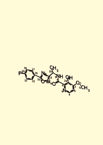 COc1ccnc(C(=O)NC(C)c2noc(-c3ccc(F)cc3)n2)c1O